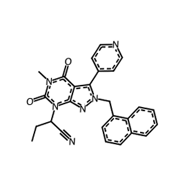 CCC(C#N)n1c(=O)n(C)c(=O)c2c(-c3ccncc3)n(Cc3cccc4ccccc34)nc21